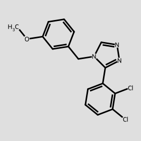 COc1cccc(Cn2cnnc2-c2cccc(Cl)c2Cl)c1